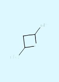 CCCCC1CC(CCC)O1